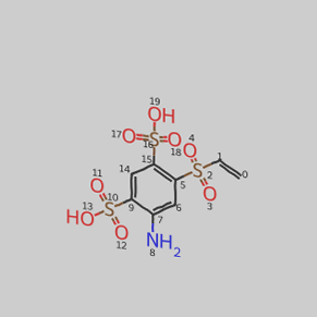 C=CS(=O)(=O)c1cc(N)c(S(=O)(=O)O)cc1S(=O)(=O)O